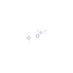 N#Cc1c(-c2ccc(CCOc3ccc(F)cc3C(N)=O)c(F)c2)nn(C2CCOCC2)c1N